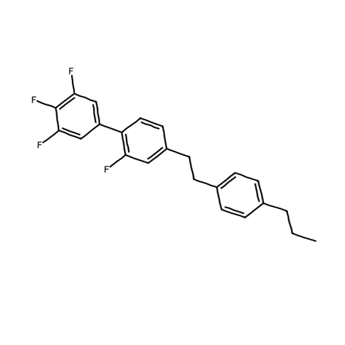 CCCc1ccc(CCc2ccc(-c3cc(F)c(F)c(F)c3)c(F)c2)cc1